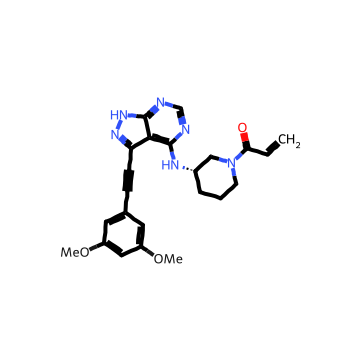 C=CC(=O)N1CCC[C@H](Nc2ncnc3[nH]nc(C#Cc4cc(OC)cc(OC)c4)c23)C1